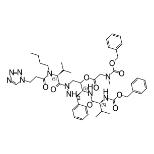 CCCCN(C(=O)CCn1cnnn1)[C@H](C(=O)N(N)CC(OC(=O)CN(C)C(=O)OCc1ccccc1)[C@H](Cc1ccccc1)NC(=O)[C@@H](NC(=O)OCc1ccccc1)C(C)C)C(C)C